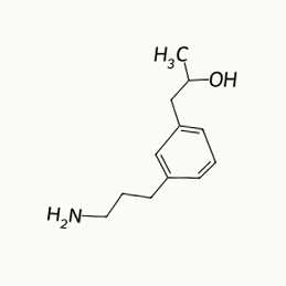 CC(O)Cc1cccc(CCCN)c1